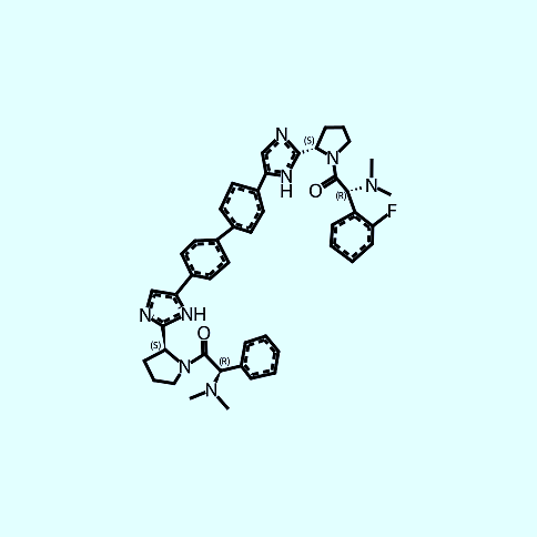 CN(C)[C@@H](C(=O)N1CCC[C@H]1c1ncc(-c2ccc(-c3ccc(-c4cnc([C@@H]5CCCN5C(=O)[C@@H](c5ccccc5F)N(C)C)[nH]4)cc3)cc2)[nH]1)c1ccccc1